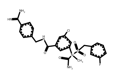 C[N+](C(N)=O)(c1cc(Cl)cc(C(=O)NCc2ccc(C(=N)N)cc2)c1)S(=O)(=O)Cc1cccc(F)c1